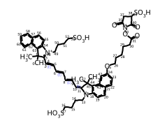 CC1(C)C(/C=C/C=C/C=C/C=C2/N(CCCCS(=O)(=O)O)c3ccc4ccc(OCCCCCC(=O)ON5C(=O)CC(S(=O)(=O)O)C5=O)cc4c3C2(C)C)=[N+](CCCCS(=O)(=O)O)c2ccc3ccccc3c21